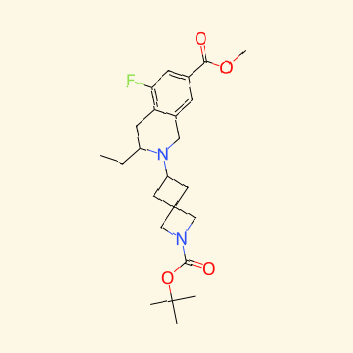 CCC1Cc2c(F)cc(C(=O)OC)cc2CN1C1CC2(C1)CN(C(=O)OC(C)(C)C)C2